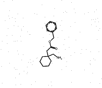 NCC1(CC(=O)OCc2ccccc2)CCCCC1